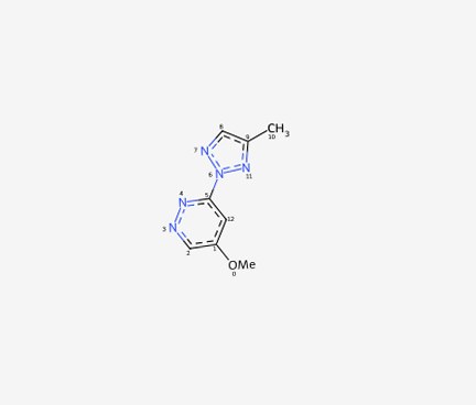 COc1cnnc(-n2ncc(C)n2)c1